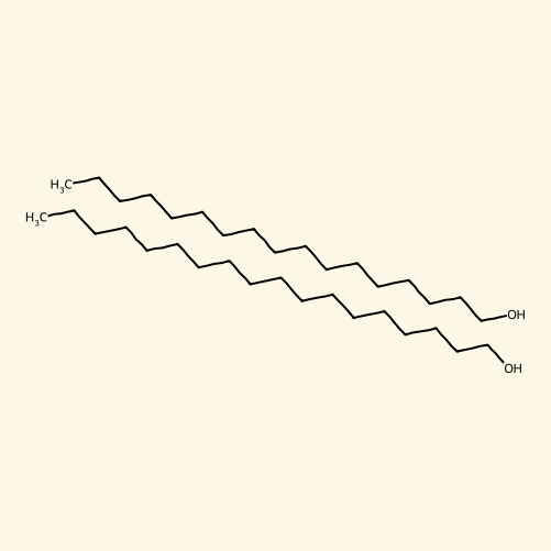 CCCCCCCCCCCCCCCCCCO.CCCCCCCCCCCCCCCCCO